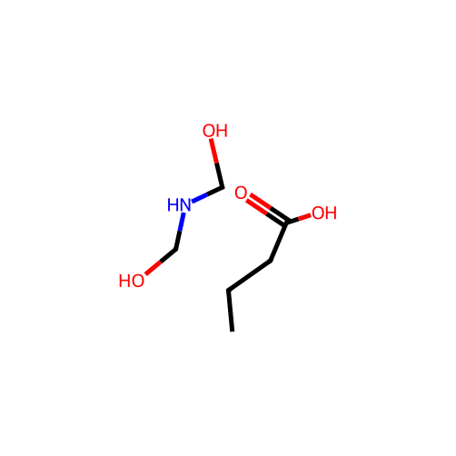 CCCC(=O)O.OCNCO